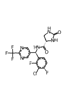 O=C1NC[C@@H](C(=O)NC(c2cnc(C(F)(F)F)nc2)c2ccc(F)c(Cl)c2F)N1